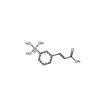 O=C(O)C=Cc1ccc[c]([SbH]([OH])([OH])[OH])c1